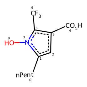 CCCCCc1cc(C(=O)O)c(C(F)(F)F)n1O